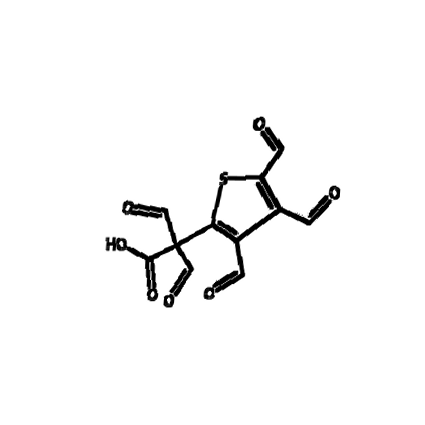 O=Cc1sc(C(C=O)(C=O)C(=O)O)c(C=O)c1C=O